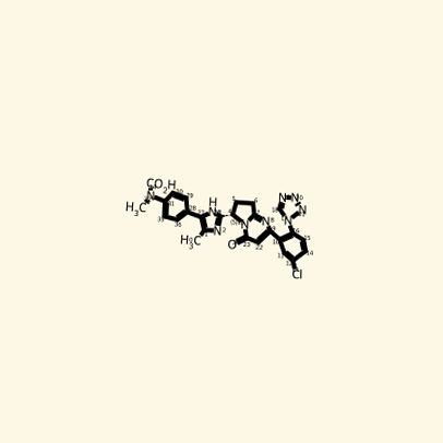 Cc1nc([C@@H]2CCc3nc(-c4cc(Cl)ccc4-n4cnnn4)cc(=O)n32)[nH]c1-c1ccc(N(C)C(=O)O)cc1